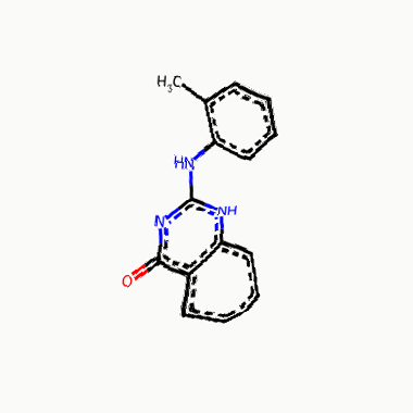 Cc1ccccc1Nc1nc(=O)c2ccccc2[nH]1